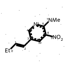 CC/C=C/c1cnc(NC)c([N+](=O)[O-])c1